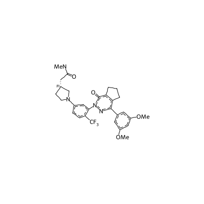 CNC(=O)C[C@H]1CCN(c2ccc(C(F)(F)F)c(-n3nc(-c4cc(OC)cc(OC)c4)c4c(c3=O)CCC4)c2)C1